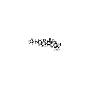 O=C1c2ccc(OC[C@@H]3CCCO3)cc2CCN1c1ccc(N2CCC(N[C@H]3CCC[C@@H]3O)C2)c(F)c1